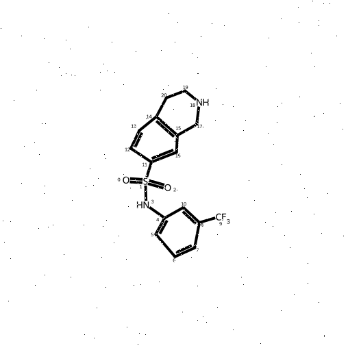 O=S(=O)(Nc1cccc(C(F)(F)F)c1)c1ccc2c(c1)CNCC2